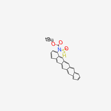 CC(C)(C)OC(=O)N([SH]=O)c1cccc2cc3cc4cc5ccccc5cc4cc3cc12